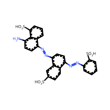 Nc1ccc(N=Nc2ccc(N=Nc3ccccc3S(=O)(=O)O)c3ccc(S(=O)(=O)O)cc23)c2cccc(S(=O)(=O)O)c12